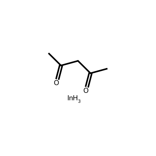 CC(=O)CC(C)=O.[InH3]